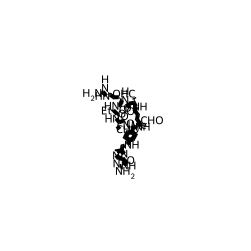 CC[C@H](NC(=O)[C@H](CCCNC(=N)N)NC(=O)[C@H](CC=O)NC(=O)CC[C@@H](C=O)NC(=O)c1ccc(NCc2cnc3nc(N)[nH]c(=O)c3n2)cc1)C(=O)N[C@@H](CC=O)C(=O)NC